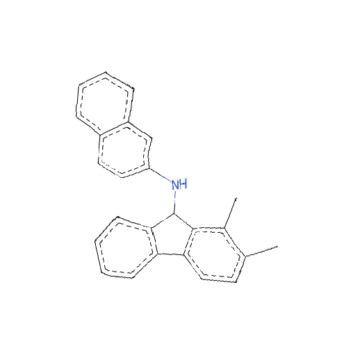 Cc1ccc2c(c1C)C(Nc1ccc3ccccc3c1)c1ccccc1-2